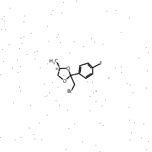 C[C@@H]1COC(CBr)(c2ccc(F)cc2)O1